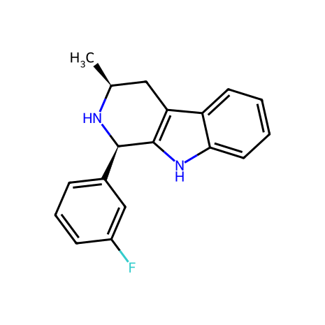 C[C@H]1Cc2c([nH]c3ccccc23)[C@@H](c2cccc(F)c2)N1